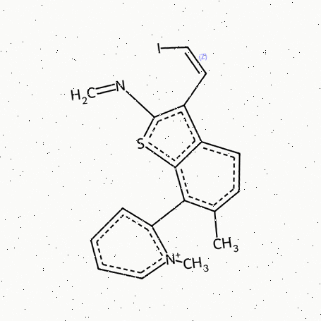 C=Nc1sc2c(-c3cccc[n+]3C)c(C)ccc2c1/C=C\I